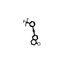 O=C1CCCc2cc(C#Cc3cccc(C(F)(F)F)c3)ccc21